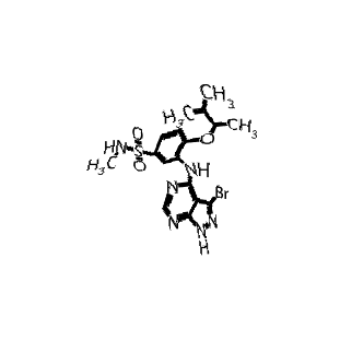 CNS(=O)(=O)c1ccc(OC(C)C(C)C)c(Nc2ncnc3[nH]nc(Br)c23)c1